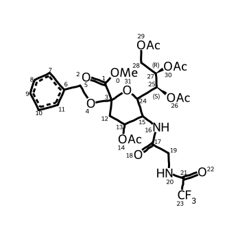 COC(=O)C1(OCc2ccccc2)CC(OC(C)=O)C(NC(=O)CNC(=O)C(F)(F)F)C([C@H](OC(C)=O)[C@@H](COC(C)=O)OC(C)=O)O1